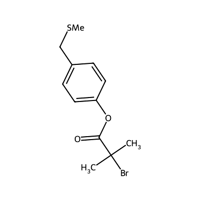 CSCc1ccc(OC(=O)C(C)(C)Br)cc1